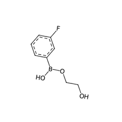 OCCOB(O)c1cccc(F)c1